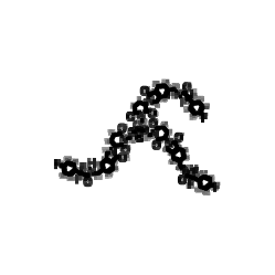 O=C1CCC(N2Cc3cc(CNC(=O)C(F)(F)c4ccc(F)cc4)ccc3C2=O)C(=O)N1COP(=O)(OCN1C(=O)CCC(N2Cc3cc(CNC(=O)C(F)(F)c4ccc(F)cc4)ccc3C2=O)C1=O)OCN1C(=O)CCC(N2Cc3cc(CNC(=O)C(F)(F)c4ccc(F)cc4)ccc3C2=O)C1=O